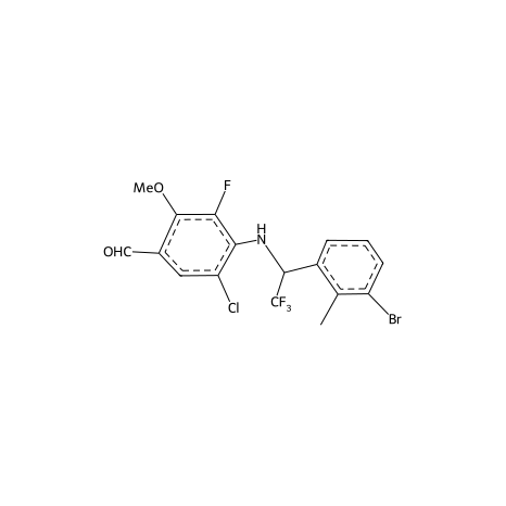 COc1c(C=O)cc(Cl)c(NC(c2cccc(Br)c2C)C(F)(F)F)c1F